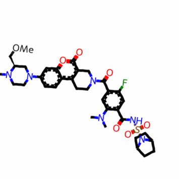 COC[C@H]1CN(c2ccc3c4c(c(=O)oc3c2)CN(C(=O)c2cc(N(C)C)c(C(=O)NS(=O)(=O)N3C5CCC3CC5)cc2F)CC4)CCN1C